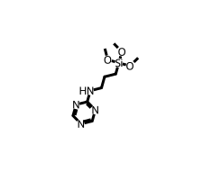 CO[Si](CCCNc1ncncn1)(OC)OC